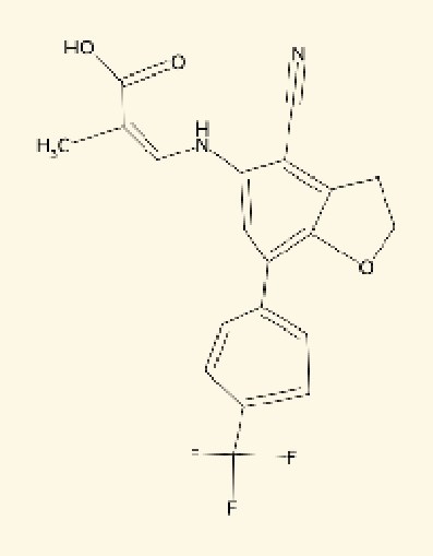 CC(=CNc1cc(-c2ccc(C(F)(F)F)cc2)c2c(c1C#N)CCO2)C(=O)O